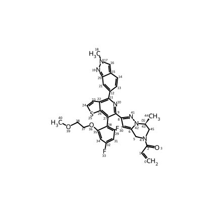 C=CC(=O)N1Cc2cc(-c3nc(-c4ccc5cn(C)nc5c4)c4ccsc4c3-c3c(F)cc(F)cc3OCCOC)nn2[C@@H](C)C1